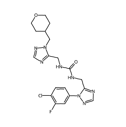 O=C(NCc1ncnn1CC1CCOCC1)NCc1ncnn1-c1ccc(Cl)c(F)c1